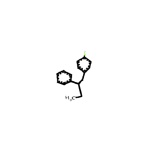 CCC(Cc1ccc(F)cc1)c1ccccc1